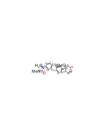 CNC(=O)N(C)c1ccc(Sc2cccc(C3(OC)CCOCC3)c2)cc1